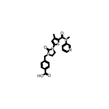 Cc1cc(N2CCN(Cc3ccc(C(=O)O)cc3)C2=O)sc1C(=O)N(C)c1cccnc1